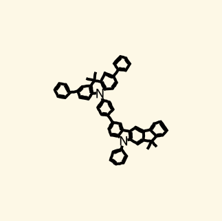 CC1(C)c2ccccc2-c2cc3c4cc(-c5ccc(N6c7ccc(-c8ccccc8)cc7C(C)(C)c7cc(-c8ccccc8)ccc76)cc5)ccc4n(-c4ccccc4)c3cc21